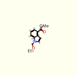 CCOCn1ccc2c(C(=O)OC)cccc21